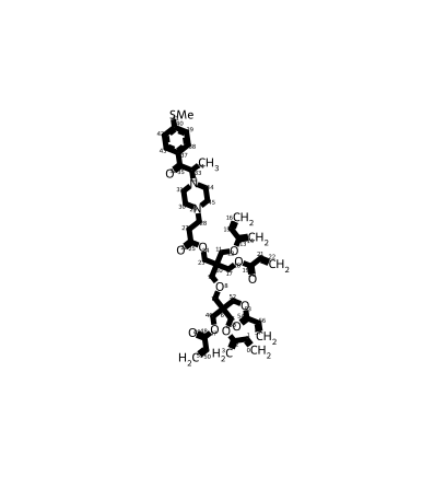 C=CC(=C)OCC(COCC(COC(=C)C=C)(COC(=O)C=C)COC(=O)CCN1CCN(C(C)C(=O)c2ccc(SC)cc2)CC1)(COC(=O)C=C)COC(=O)C=C